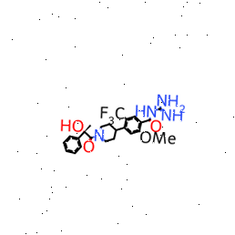 COc1cc(C2CCN(C(=O)[C@@](C)(O)c3ccccc3)CC2)c(C(F)(F)F)cc1C(=O)NC(=N)N